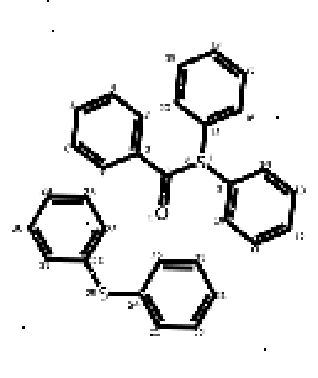 O=C(c1ccccc1)[S+](c1ccccc1)c1ccccc1.c1ccc(Sc2ccccc2)cc1